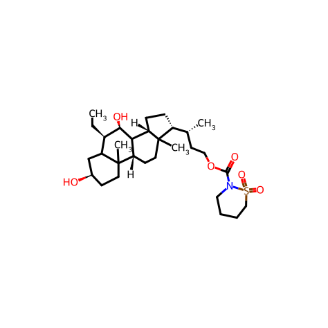 CC[C@@H]1C2C[C@H](O)CCC2(C)[C@H]2CCC3(C)[C@@H]([C@H](C)CCOC(=O)N4CCCCS4(=O)=O)CC[C@H]3C2[C@@H]1O